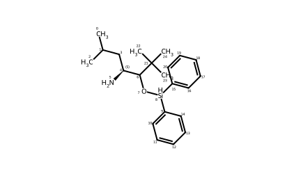 CC(C)C[C@H](N)C(O[SiH](c1ccccc1)c1ccccc1)C(C)(C)C